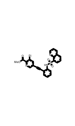 CCc1cc(C#Cc2ccccc2NS(=O)(=O)c2cccc3cccnc23)cnc1C(=O)OC